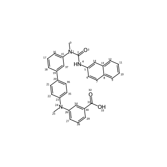 CN(C(=O)Nc1ccc2ccccc2c1)c1cccc(-c2ccc(N(C)c3cccc(C(=O)O)c3)cc2)c1